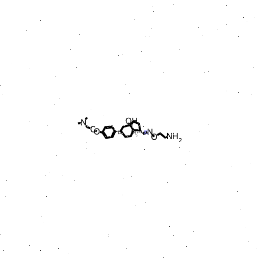 CN(C)CCOc1ccc([C@H]2CC[C@]3(C)[C@@H](/C=N/OCCN)CC[C@]3(O)C2)cc1